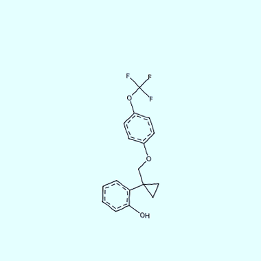 Oc1ccccc1C1(COc2ccc(OC(F)(F)F)cc2)CC1